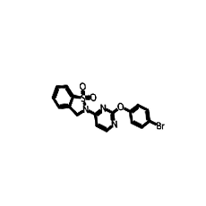 O=S1(=O)c2ccccc2CN1c1ccnc(Oc2ccc(Br)cc2)n1